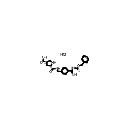 Cl.N=C(NC(=O)OCc1ccccc1)c1ccc(CNC(=O)[C@@H]2C[C@@H](C(=O)O)CN2)cc1